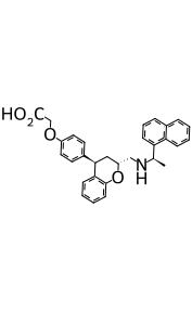 C[C@@H](NC[C@H]1C[C@H](c2ccc(OCC(=O)O)cc2)c2ccccc2O1)c1cccc2ccccc12